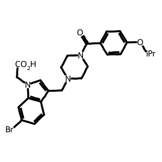 CC(C)Oc1ccc(C(=O)N2CCN(Cc3cn(CC(=O)O)c4cc(Br)ccc34)CC2)cc1